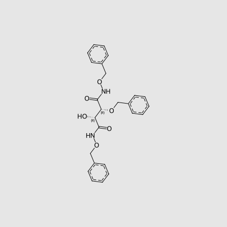 O=C(NOCc1ccccc1)[C@H](O)[C@@H](OCc1ccccc1)C(=O)NOCc1ccccc1